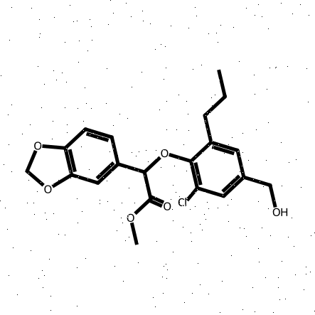 CCCc1cc(CO)cc(Cl)c1OC(C(=O)OC)c1ccc2c(c1)OCO2